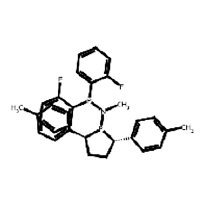 Cc1ccc([C@@H]2CC[C@@H](c3ccc(C)cc3)P2N(C)P(c2ccccc2F)c2ccccc2F)cc1